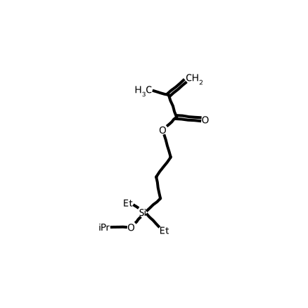 C=C(C)C(=O)OCCC[Si](CC)(CC)OC(C)C